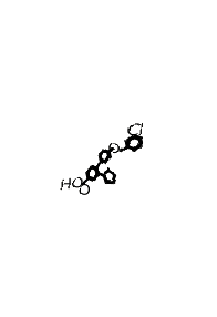 O=C(O)c1ccc(-c2ccc(OCc3cccc(Cl)c3)cc2)c(C2CCCC2)c1